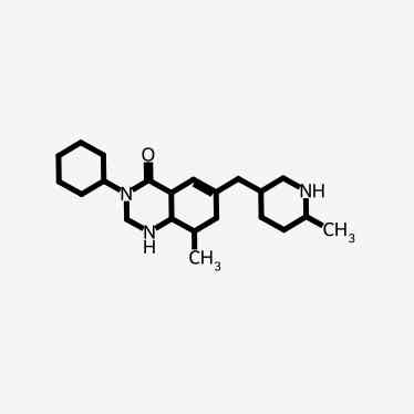 CC1CCC(CC2=CC3C(=O)N(C4CCCCC4)CNC3C(C)C2)CN1